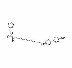 CC(=O)c1ccc(-c2ccc(OCCCCCCCCCCCNC(=O)OCc3ccccc3)cc2)cc1